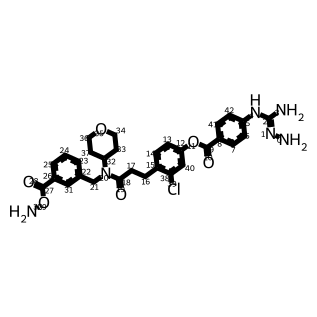 NN=C(N)Nc1ccc(C(=O)Oc2ccc(CCC(=O)N(Cc3cccc(C(=O)ON)c3)C3CCOCC3)c(Cl)c2)cc1